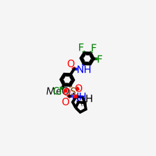 COC(=O)NC1C2CC[C@H]1CC(S(=O)(=O)c1cc(C(=O)Nc3cc(F)c(F)c(F)c3)ccc1Cl)C2